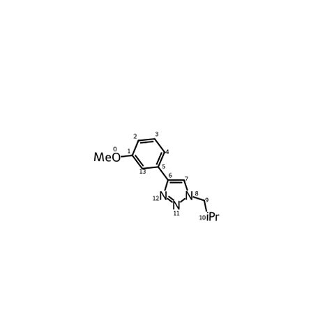 COc1cccc(-c2cn(CC(C)C)nn2)c1